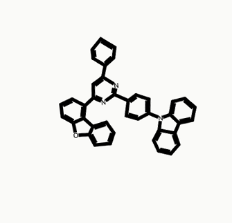 c1ccc(-c2cc(-c3cccc4oc5ccccc5c34)nc(-c3ccc(-n4c5ccccc5c5ccccc54)cc3)n2)cc1